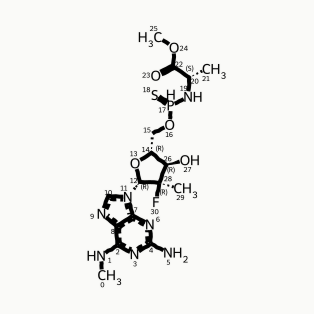 CNc1nc(N)nc2c1ncn2[C@@H]1O[C@H](CO[PH](=S)N[C@@H](C)C(=O)OC)[C@@H](O)[C@@]1(C)F